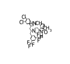 CNCC(CC(Cc1cc(C(F)(F)F)cc(C(F)(F)F)c1)N1CCC(NC(C)=O)(c2ccccc2)CC1)c1ccc(Cl)c(Cl)c1